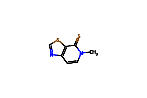 Cn1ccc2ncsc2c1=S